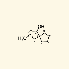 COCC1(C(=O)O)CCCC1